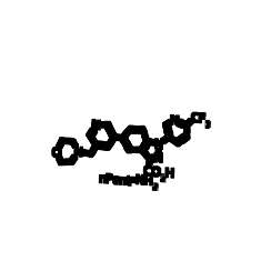 CCCCCN.O=C(O)c1nn(-c2ccc(C(F)(F)F)nc2)c2ccc(-c3cncc(CN4CCOCC4)c3)cc12